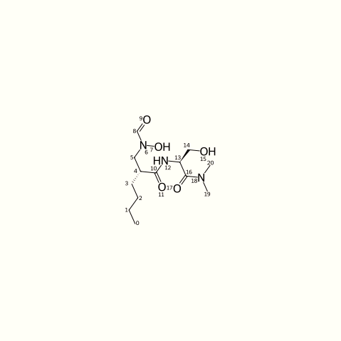 CCCC[C@H](CN(O)C=O)C(=O)N[C@@H](CO)C(=O)N(C)C